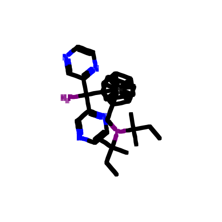 CCC(C)(C)P(C[C]12[CH]3[CH]4[CH]5[C]1(C(P)(c1cnccn1)c1cnccn1)[Fe]43521678[CH]2[CH]1[CH]6[CH]7[CH]28)C(C)(C)CC